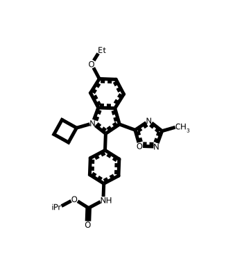 CCOc1ccc2c(-c3nc(C)no3)c(-c3ccc(NC(=O)OC(C)C)cc3)n(C3CCC3)c2c1